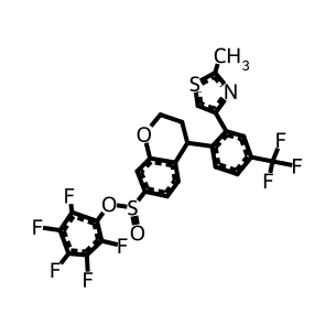 Cc1nc(-c2cc(C(F)(F)F)ccc2C2CCOc3cc(S(=O)Oc4c(F)c(F)c(F)c(F)c4F)ccc32)cs1